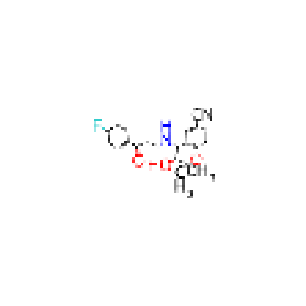 CC1(C)Oc2ccc(C#N)cc2C(NCCC(=O)c2ccc(F)cc2)C1O